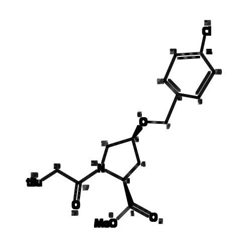 COC(=O)[C@@H]1C[C@H](OCc2ccc(Cl)cc2)CN1C(=O)CC(C)(C)C